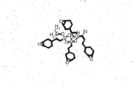 CC[C@H](CCC1CCC2OC2C1)[SiH](CCC1CCC2OC2C1)O[Si](C)(CCC1CCC2OC2C1)O[Si](C)(CCC1CCC2OC2C1)O[SiH2]C